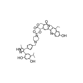 CCc1c2c(nc3ccc(O)cc13)-c1cc3c(c(=O)n1C2)COC(=O)C3OC(=O)N1CCN(Cc2ccc(-c3c(-c4cc(C(C)C)c(O)cc4O)n[nH]c3C)cc2)CC1